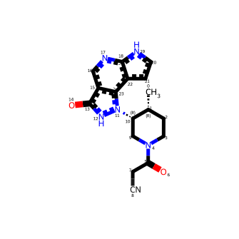 C[C@@H]1CCN(C(=O)CC#N)C[C@@H]1n1[nH]c(=O)c2cnc3[nH]ccc3c21